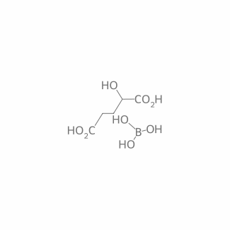 O=C(O)CCC(O)C(=O)O.OB(O)O